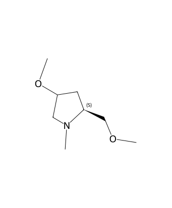 COC[C@@H]1CC(OC)CN1C